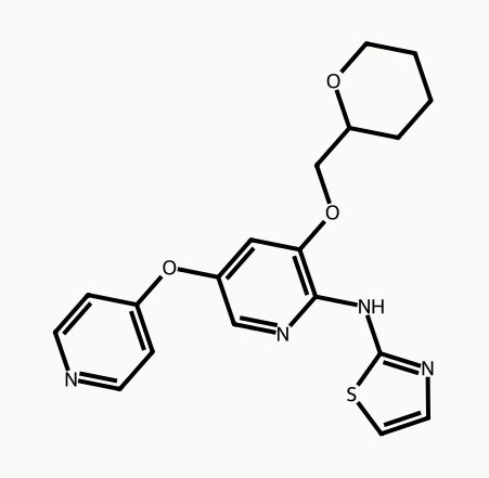 c1cc(Oc2cnc(Nc3nccs3)c(OCC3CCCCO3)c2)ccn1